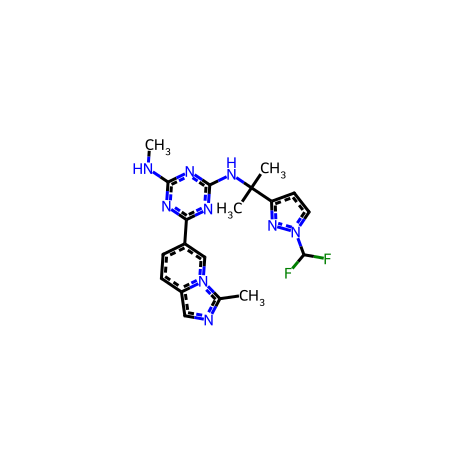 CNc1nc(NC(C)(C)c2ccn(C(F)F)n2)nc(-c2ccc3cnc(C)n3c2)n1